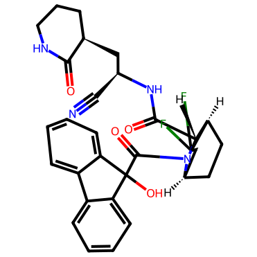 N#C[C@@H](C[C@@H]1CCCNC1=O)NC(=O)[C@@H]1[C@H]2CC[C@H](CC2(F)F)N1C(=O)C1(O)c2ccccc2-c2ccccc21